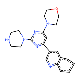 c1ccc2ncc(-c3cc(N4CCOCC4)nc(N4CCNCC4)n3)cc2c1